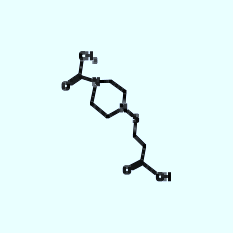 CC(=O)N1CCN(SCCC(=O)O)CC1